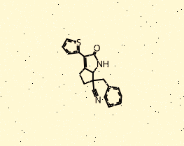 N#CC1(Cc2ccccc2)CCC2=C(c3cccs3)C(=O)NC21